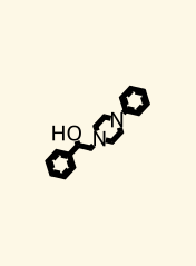 OC(CN1CCN(c2ccccc2)CC1)c1ccccc1